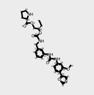 CC[C@H](COC(=O)[C@H]1CCCN1)OC(=O)NCc1cccc(NC(=O)Nc2ccc(-c3cnco3)c(OC)c2)c1